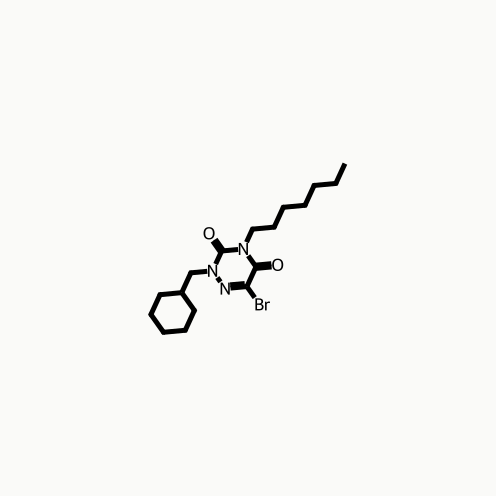 CCCCCCCn1c(=O)c(Br)nn(CC2CCCCC2)c1=O